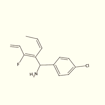 C=C/C(F)=C(\C=C/C)C(N)c1ccc(Cl)cc1